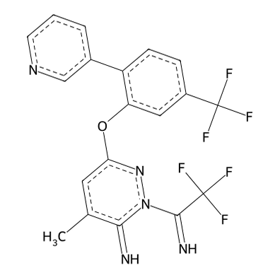 Cc1cc(Oc2cc(C(F)(F)F)ccc2-c2cccnc2)nn(C(=N)C(F)(F)F)c1=N